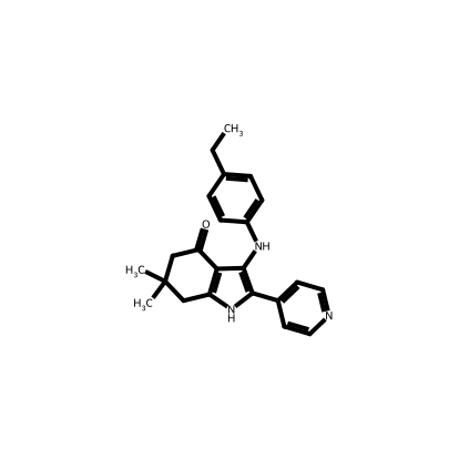 CCc1ccc(Nc2c(-c3ccncc3)[nH]c3c2C(=O)CC(C)(C)C3)cc1